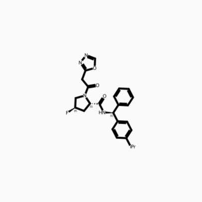 CC(C)c1ccc([C@@H](NC(=O)[C@@H]2C[C@@H](F)CN2C(=O)Cc2nnco2)c2ccccc2)cc1